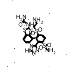 NCCS(=O)(=O)c1ccc(S(N)(=O)=O)c(-c2nn[nH]n2)c1-c1cccc2sc(NC(N)=O)nc12